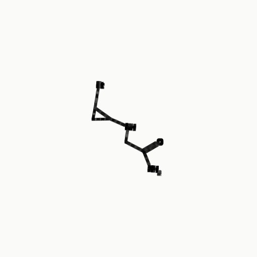 CCC1CC1NCC(N)=O